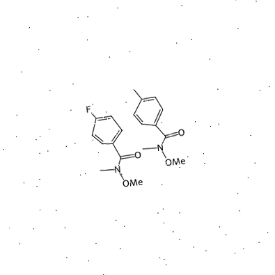 CON(C)C(=O)c1ccc(C)cc1.CON(C)C(=O)c1ccc(F)cc1